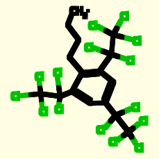 [CH2]CCCc1c(C(Cl)(Cl)C(Cl)(Cl)Cl)cc(C(Cl)(Cl)C(Cl)(Cl)Cl)cc1C(Cl)(Cl)C(Cl)(Cl)Cl